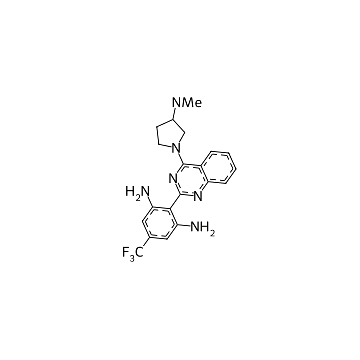 CNC1CCN(c2nc(-c3c(N)cc(C(F)(F)F)cc3N)nc3ccccc23)C1